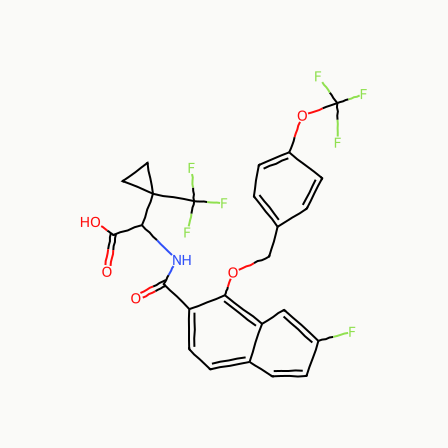 O=C(NC(C(=O)O)C1(C(F)(F)F)CC1)c1ccc2ccc(F)cc2c1OCc1ccc(OC(F)(F)F)cc1